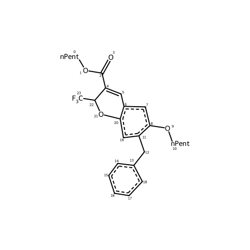 CCCCCOC(=O)C1=Cc2cc(OCCCCC)c(Cc3ccccc3)cc2OC1C(F)(F)F